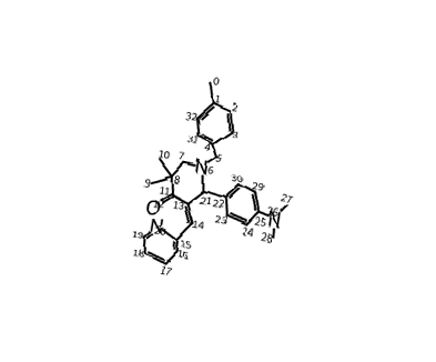 Cc1ccc(CN2CC(C)(C)C(=O)C(=Cc3ccccn3)C2c2ccc(N(C)C)cc2)cc1